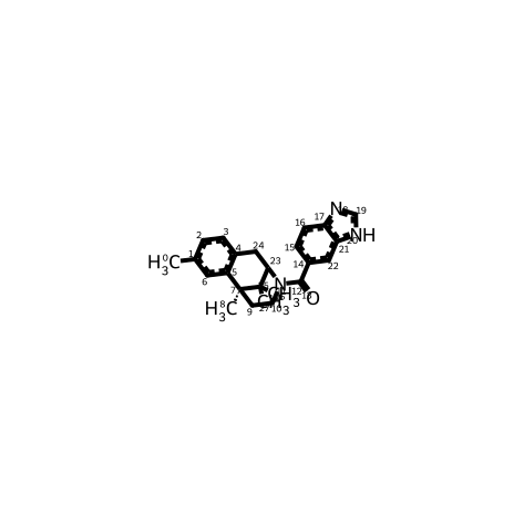 Cc1ccc2c(c1)[C@]1(C)CCN(C(=O)c3ccc4nc[nH]c4c3)C(C2)C1(C)C